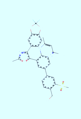 C/C(=C/C(=N)C(F)(F)F)Nc1ccc(-c2ccc(CO)c(S(C)(=O)=O)c2)cc1-c1oc(C)nc1-c1ccc2c(c1)OC(F)(F)O2